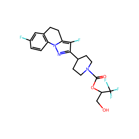 O=C(OC(CO)C(F)(F)F)N1CCC(c2nn3c(c2F)CCc2cc(F)ccc2-3)CC1